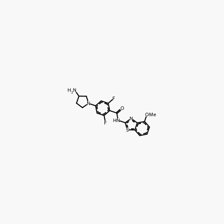 COc1cccc2sc(NC(=O)c3c(F)cc(N4CCC(N)C4)cc3F)nc12